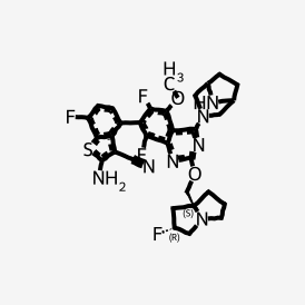 COc1c(F)c(-c2ccc(F)c3sc(N)c(C#N)c23)c(F)c2nc(OC[C@@]34CCCN3C[C@H](F)C4)nc(N3CC4CCC(C3)N4)c12